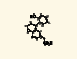 O=C(O)Cc1ccc2c(c1)C(c1ccccc1O)CCO2